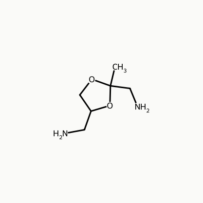 CC1(CN)OCC(CN)O1